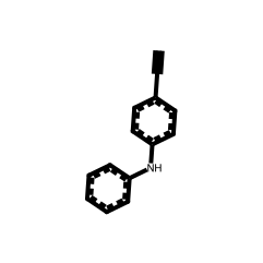 C#Cc1ccc(Nc2ccccc2)cc1